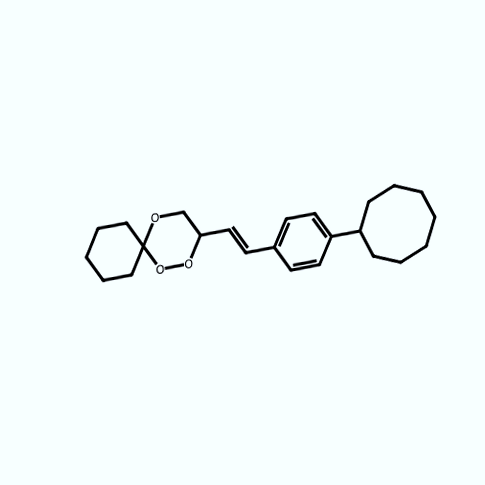 C(=CC1COC2(CCCCC2)OO1)c1ccc(C2CCCCCCC2)cc1